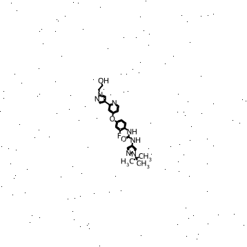 CC(C)(C)n1cc(NC(=O)Nc2ccc(Oc3ccnc(-c4cnn(CCO)c4)c3)cc2F)cn1